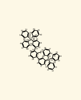 Ic1c(-c2cccc([Si](c3ccccc3)(c3ccccc3)c3ccccc3)c2)cccc1-c1cccc([Si](c2ccccc2)(c2ccccc2)c2ccccc2)c1